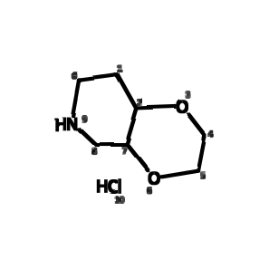 C1CC2OCCOC2CN1.Cl